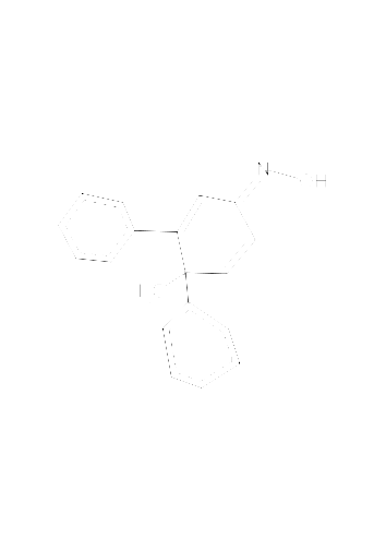 CC1(c2ccccc2)C=CC(=NO)C=C1c1ccccc1